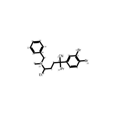 CCC(CCC(C#N)(c1ccc(Br)c(Br)c1)C(C)C)N(C)Cc1ccccc1